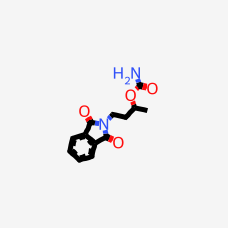 CC(CCN1C(=O)c2ccccc2C1=O)OC(N)=O